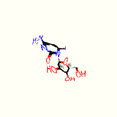 Nc1cc(I)n([C@@H]2O[C@H](CO)C(O)C2O)c(=O)n1